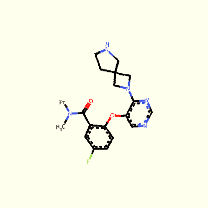 CC(C)N(C)C(=O)c1cc(F)ccc1Oc1cncnc1N1CC2(CCNC2)C1